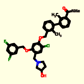 CNC(=O)c1cccc(-c2cccc(COc3cc(OCc4cc(F)cc(F)c4)c(CN4CCC(O)C4)cc3Cl)c2C)c1C